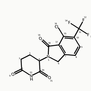 O=C1CCC(N2Cc3ccc(C(F)(F)F)c(Cl)c3C2=O)C(=O)N1